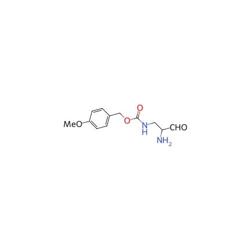 COc1ccc(COC(=O)NCC(N)C=O)cc1